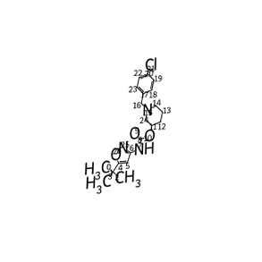 CC(C)(C)c1cc(NC(=O)OC2CCCN(Cc3ccc(Cl)cc3)C2)no1